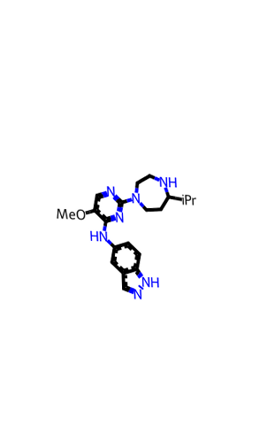 COc1cnc(N2CCNC(C(C)C)CC2)nc1Nc1ccc2[nH]ncc2c1